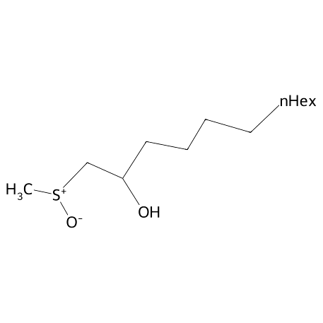 CCCCCCCCCCC(O)C[S+](C)[O-]